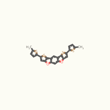 Cc1ccc(-c2cc3oc4cc5oc6cc(-c7ccc(C)s7)sc6c5cc4c3s2)s1